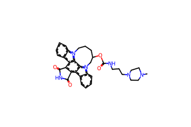 CN1CCN(CCCNC(=O)OC2CCCn3c4ccccc4c4c5c(c6c7ccccc7n(c6c43)C2)C(=O)NC5=O)CC1